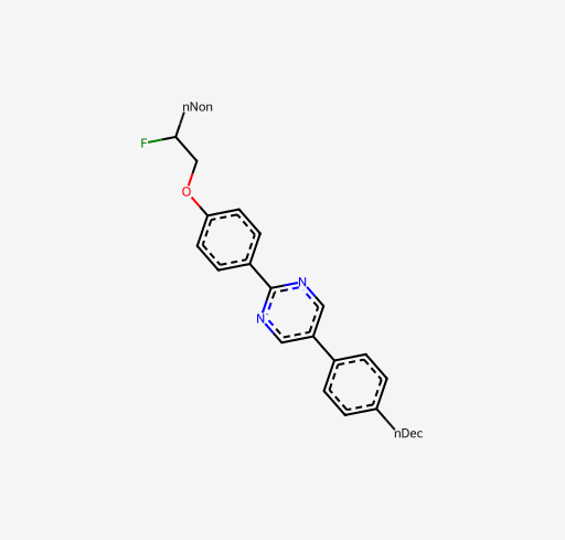 CCCCCCCCCCc1ccc(-c2cnc(-c3ccc(OCC(F)CCCCCCCCC)cc3)nc2)cc1